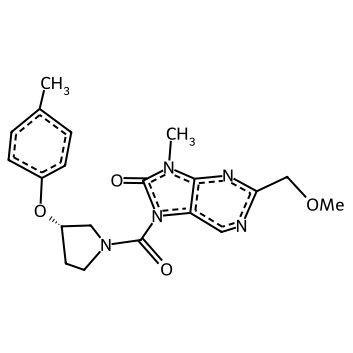 COCc1ncc2c(n1)n(C)c(=O)n2C(=O)N1CC[C@H](Oc2ccc(C)cc2)C1